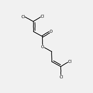 O=C(C=C(Cl)Cl)OCC=C(Cl)Cl